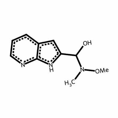 CON(C)C(O)c1cc2cccnc2[nH]1